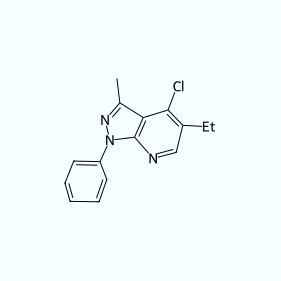 CCc1cnc2c(c(C)nn2-c2ccccc2)c1Cl